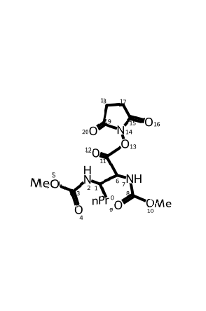 CCCC(NC(=O)OC)C(NC(=O)OC)C(=O)ON1C(=O)CCC1=O